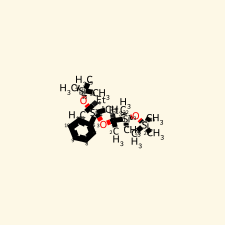 CCC(C)(O[Si](C)(c1ccccc1)C(C)(CC)O[Si](C)(C)C)[Si](C)(C)O[Si](C)(C)C